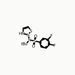 CC(C)(C)N(N1NC=CS1)S(=O)(=O)c1ccc(F)c(F)c1